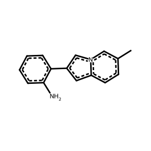 Cc1ccc2cc(-c3ccccc3N)cn2c1